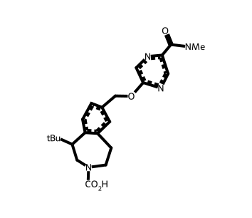 CNC(=O)c1cnc(OCc2ccc3c(c2)CCN(C(=O)O)CC3C(C)(C)C)cn1